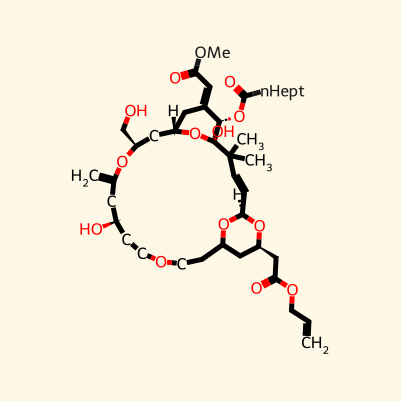 C=CCOC(=O)C[C@H]1CC2CCOCC[C@@H](O)CC(=C)O[C@@H](CO)C[C@@H]3C/C(=C\C(=O)OC)[C@H](OC(=O)CCCCCCC)[C@@](O)(O3)C(C)(C)/C=C/[C@H](O2)O1